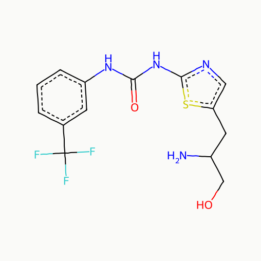 NC(CO)Cc1cnc(NC(=O)Nc2cccc(C(F)(F)F)c2)s1